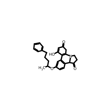 CC(CCCc1ccccc1)Oc1ccc2c(c1)C1=C(CC(=O)C=C1O)N1CCC(=O)C21